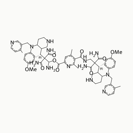 COc1ccc(N(Cc2cnccc2C)C2CCNCC2[C@@H](C)C(CNC(=O)c2c(C)cc(C(=O)OC(N)C(C(N)=O)(C(N)=O)[C@H](C)C3CNCCC3N(Cc3cnccc3C)c3ccc(OC)cc3)nc2C)(C(N)=O)C(N)=O)cc1